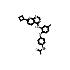 CC(=O)Nc1ccc(Sc2ccc(C)cc2Nc2ncnc3nc(C4CCC4)ccc23)cc1